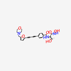 C[C@H](O)[C@H](NC(=O)c1ccc(C#CC#Cc2ccc(CN3CCOCC3)o2)cc1)C(=O)NO